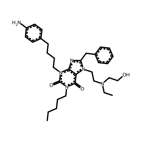 CCCCCn1c(=O)c2c(nc(Cc3ccccc3)n2CCN(CC)CCO)n(CCCCc2ccc(N)cc2)c1=O